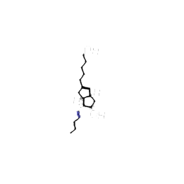 CCC/C=C/[C@@H]1[C@H]2CC(CCCCCO)=C[C@H]2C[C@H]1O